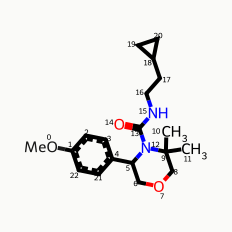 COc1ccc(C2COCC(C)(C)N2C(=O)NCCC2CC2)cc1